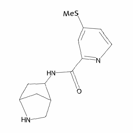 CSc1ccnc(C(=O)NC2CC3CC2CN3)c1